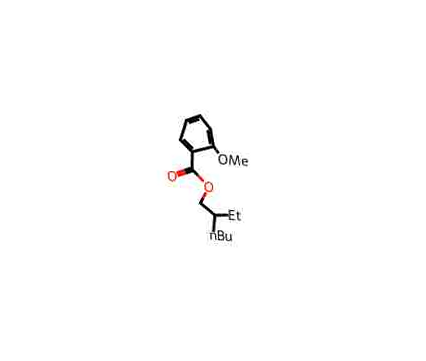 CCCCC(CC)COC(=O)c1ccccc1OC